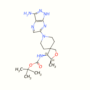 C[C@@H]1OCC2(CCN(c3cnc4c(N)n[nH]c4n3)CC2)[C@@H]1NC(=O)OC(C)(C)C